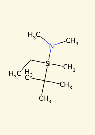 CC[Si](C)(N(C)C)C(C)(C)C